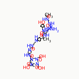 CCC(=O)NCCNC(=O)/N=C(/N)NCCC[C@@H](NC(=O)C(C)c1ccc(NCCCNC(=O)CN2CCC(NC(=O)CN3CCN(CC(=O)O)CCN(CC(=O)O)CCN(CC(=O)O)CC3)CC2)cc1)C(=O)NCc1ccc(O)cc1